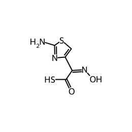 Nc1nc(C(=NO)C(=O)S)cs1